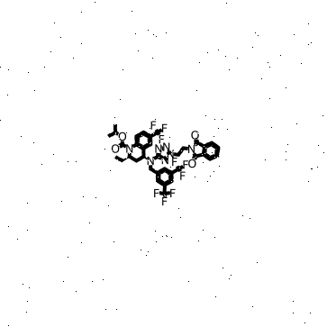 CC[C@@H]1C[C@H](N(Cc2cc(C(F)(F)F)cc(C(F)(F)F)c2)c2nnn(CCN3C(=O)c4ccccc4C3=O)n2)c2cc(C(F)(F)F)ccc2N1C(=O)OC(C)C